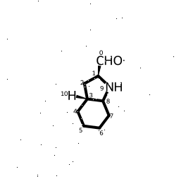 O=[C][C@@H]1C[C@H]2CCCCC2N1